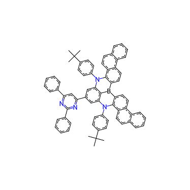 CC(C)(C)c1ccc(N2c3cc(-c4cc(-c5ccccc5)nc(-c5ccccc5)n4)cc4c3B(c3ccc5c(ccc6ccccc65)c32)c2ccc3c(ccc5ccccc53)c2N4c2ccc(C(C)(C)C)cc2)cc1